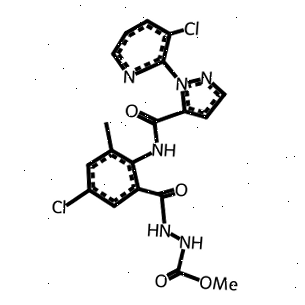 COC(=O)NNC(=O)c1cc(Cl)cc(C)c1NC(=O)c1ccnn1-c1ncccc1Cl